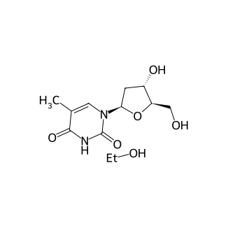 CCO.Cc1cn([C@H]2C[C@H](O)[C@@H](CO)O2)c(=O)[nH]c1=O